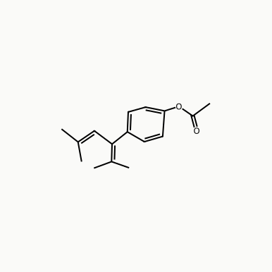 CC(=O)Oc1ccc(C(C=C(C)C)=C(C)C)cc1